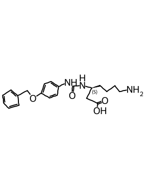 NCCCC[C@@H](CC(=O)O)NC(=O)Nc1ccc(OCc2ccccc2)cc1